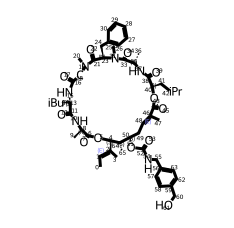 C/C=C(\C)[C@H]1OC(=O)[C@@H](C)NC(=O)[C@H]([C@H](C)CC)NC(=O)CN(C)C(=O)[C@@H](Cc2ccccc2)N(C)C(=O)[C@H](C)NC(=O)[C@@H](CC(C)C)OC(=O)/C(C)=C/C[C@H](OC(=O)NCc2ccc(CO)cc2)[C@@H]1C